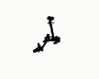 C=CCOC(=O)N1C[C@@H]2Cc3ccccc3CN2C(=O)c2cc(OC)c(OCCCCCOc3cc4c(cc3OC)C(=O)N3CC5(CC5)C[C@H]3CN4C(=O)OCc3ccc(O[C@@H]4O[C@H](C(=O)OC)[C@@H](OC(C)=O)[C@H](OC(C)=O)[C@H]4OC(C)=O)c(NC(=O)CCOCCOCCOCCOCCNC(=O)OCC4c5ccccc5-c5ccccc54)c3)cc21